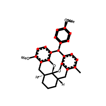 COc1ccc(P(c2ccc(C)cc2)c2cccc3c2O[C@@]24Oc5c(cccc5P(c5ccc(OC)cc5)c5ccc(OC)cc5)C[C@@H]2CCC[C@H]4C3)cc1